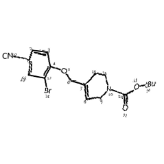 [C-]#[N+]c1ccc(OCC2=CCN(C(=O)OC(C)(C)C)CC2)c(Br)c1